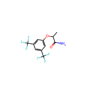 CC(Oc1cc(C(F)(F)F)cc(C(F)(F)F)c1)C(N)=O